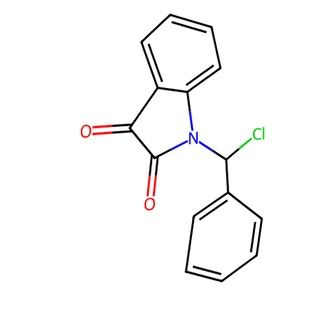 O=C1C(=O)N(C(Cl)c2ccccc2)c2ccccc21